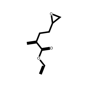 C=COC(=O)C(=C)CCC1CO1